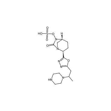 CC(Cc1nnc([C@@H]2CC[C@@H]3CN2C(=O)N3OS(=O)(=O)O)o1)N1CCNCC1